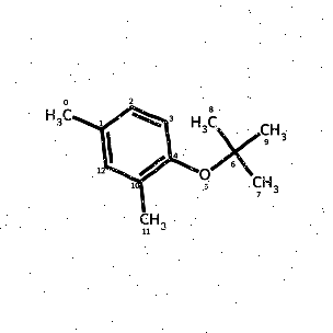 Cc1ccc(OC(C)(C)C)c(C)c1